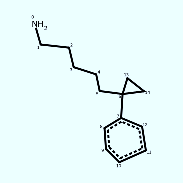 NCCCCCC1(c2ccccc2)CC1